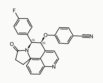 N#Cc1ccc(O[C@@H](c2ccnc3ccccc23)[C@H](c2ccc(F)cc2)N2CCCC2=O)cc1